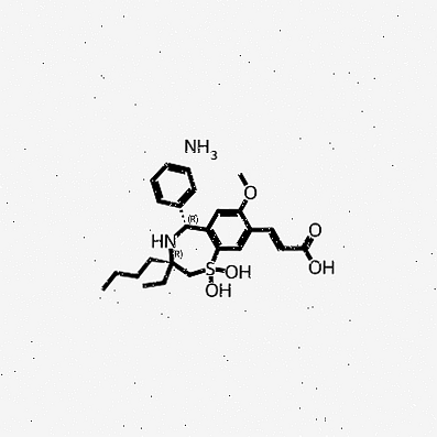 CCCC[C@]1(CC)CS(O)(O)c2cc(C=CC(=O)O)c(OC)cc2[C@@H](c2ccccc2)N1.N